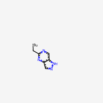 CC(C)(C)Cc1ncc2[nH]ncc2n1